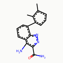 Cc1cccc(-c2cccc3c(N)c(C(N)=O)nnc23)c1C